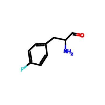 NC(C=O)Cc1ccc(F)cc1